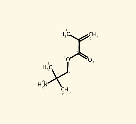 C=C(C)C(=O)OCC(C)(C)N